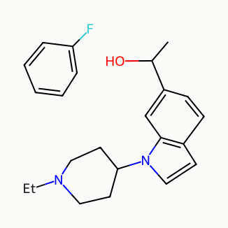 CCN1CCC(n2ccc3ccc(C(C)O)cc32)CC1.Fc1ccccc1